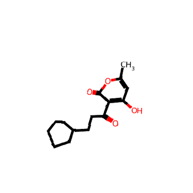 Cc1cc(O)c(C(=O)CCC2CCCCC2)c(=O)o1